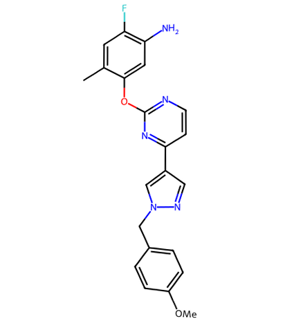 COc1ccc(Cn2cc(-c3ccnc(Oc4cc(N)c(F)cc4C)n3)cn2)cc1